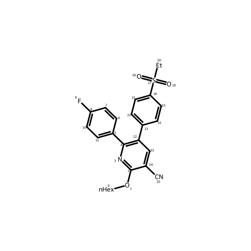 CCCCCCOc1nc(-c2ccc(F)cc2)c(-c2ccc(S(=O)(=O)CC)cc2)cc1C#N